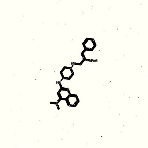 CCCCCC(=Cc1ccccc1)CN[C@H]1CC[C@@H](Nc2cc(N(C)C)c3ccccc3n2)CC1